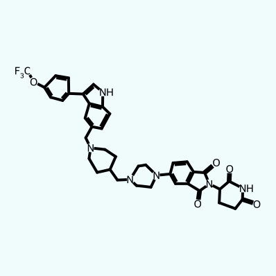 O=C1CCC(N2C(=O)c3ccc(N4CCN(CC5CCN(Cc6ccc7[nH]cc(-c8ccc(OC(F)(F)F)cc8)c7c6)CC5)CC4)cc3C2=O)C(=O)N1